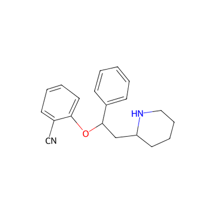 N#Cc1ccccc1OC(CC1CCCCN1)c1ccccc1